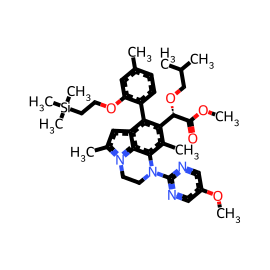 COC(=O)[C@@H](OCC(C)C)c1c(C)c2c3c(cc(C)n3CCN2c2ncc(OC)cn2)c1-c1ccc(C)cc1OCC[Si](C)(C)C